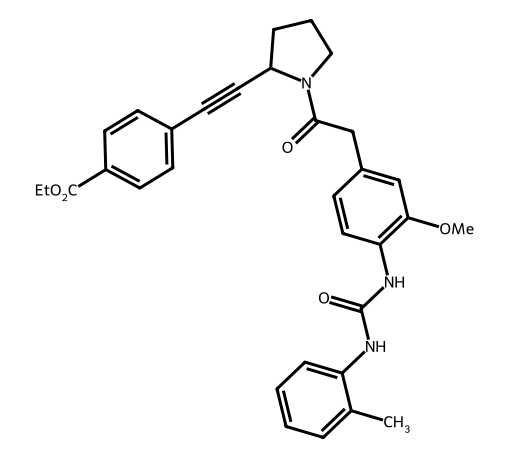 CCOC(=O)c1ccc(C#CC2CCCN2C(=O)Cc2ccc(NC(=O)Nc3ccccc3C)c(OC)c2)cc1